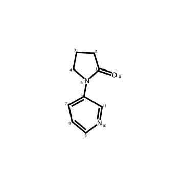 O=C1CCCN1c1cc[c]nc1